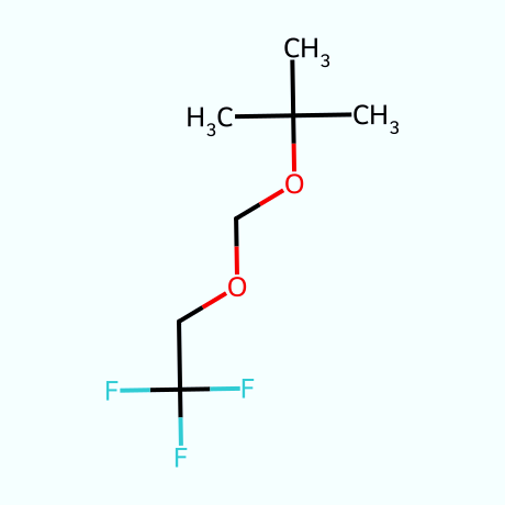 CC(C)(C)OCOCC(F)(F)F